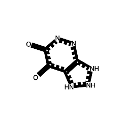 O=c1nnc2[nH][nH][nH]c=2c1=O